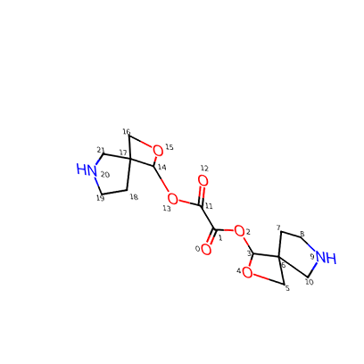 O=C(OC1OCC12CCNC2)C(=O)OC1OCC12CCNC2